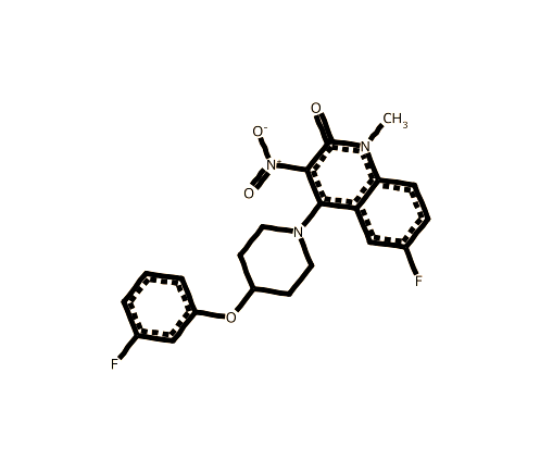 Cn1c(=O)c([N+](=O)[O-])c(N2CCC(Oc3cccc(F)c3)CC2)c2cc(F)ccc21